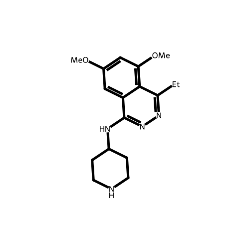 CCc1nnc(NC2CCNCC2)c2cc(OC)cc(OC)c12